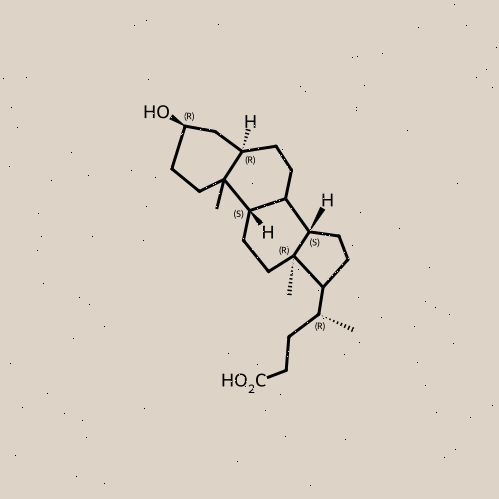 C[C@H](CCC(=O)O)C1CC[C@H]2C3CC[C@@H]4C[C@H](O)CCC4(C)[C@H]3CC[C@]12C